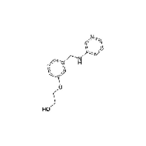 OCCOc1cccc(CNc2cccnc2)c1